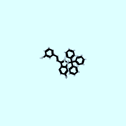 Fc1[c]cc2c(/C=C/c3cccc(F)c3)nn(C(c3ccccc3)(c3ccccc3)c3ccccc3)c2c1